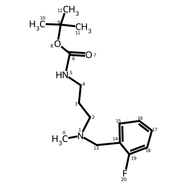 CN(CCCNC(=O)OC(C)(C)C)Cc1ccccc1F